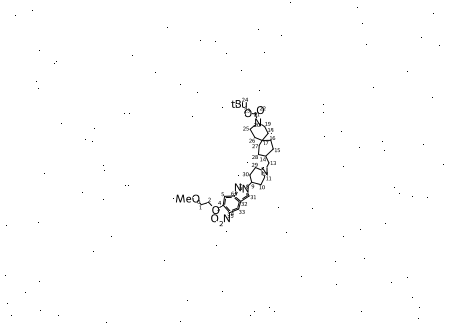 COCCOc1cc2nn(C3CCN(CC4CCC5([CH]CN(C(=O)OC(C)(C)C)CC5)CC4)CC3)cc2cc1[N+](=O)[O-]